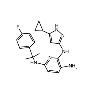 CC(C)(Nc1ccc(N)c(Nc2cc(C3CC3)[nH]n2)n1)c1ccc(F)cc1